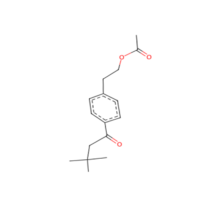 CC(=O)OCCc1ccc(C(=O)CC(C)(C)C)cc1